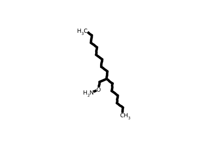 CCCCCCCCC(CCCCCC)CON